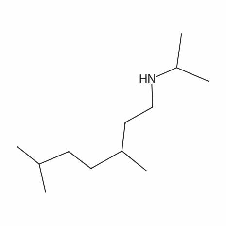 CC(C)CCC(C)CCNC(C)C